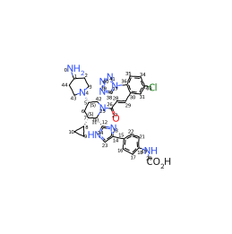 NC1CCN([C@H]2C[C@@H](C3CC3)[C@@H](c3nc(-c4ccc(NC(=O)O)cc4)c[nH]3)N(C(=O)C=Cc3cc(Cl)ccc3-n3cnnn3)C2)CC1